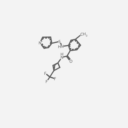 Cc1ccc(C(=O)NC23CC(C(F)(F)F)(C2)C3)c(NSc2ccncc2)c1